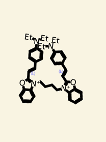 CCN(CC)c1ccc(/C=C/c2oc3ccccc3[n+]2CCCC[n+]2c(/C=C/c3ccc(N(CC)CC)cc3)oc3ccccc32)cc1